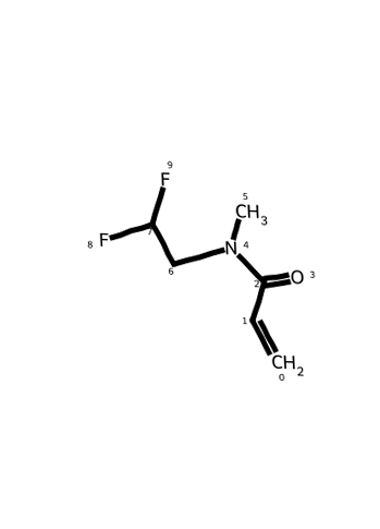 C=CC(=O)N(C)CC(F)F